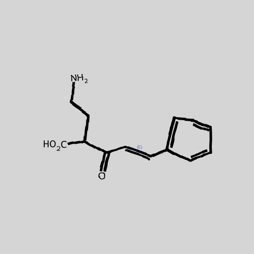 NCCC(C(=O)O)C(=O)/C=C/c1ccccc1